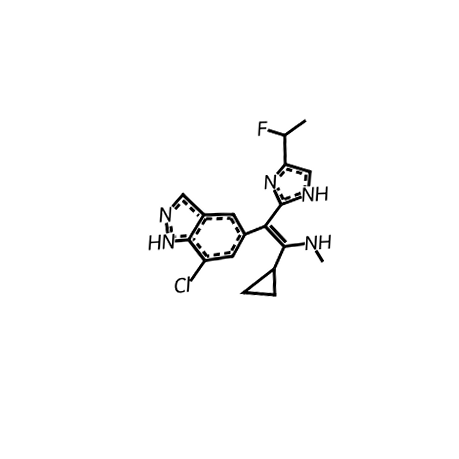 CN/C(=C(/c1cc(Cl)c2[nH]ncc2c1)c1nc(C(C)F)c[nH]1)C1CC1